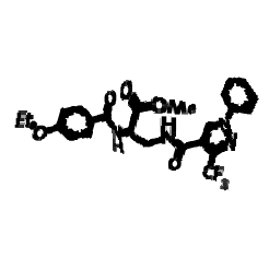 CCOc1ccc(C(=O)NC(CNC(=O)c2cn(-c3ccccc3)nc2C(F)(F)F)C(=O)OC)cc1